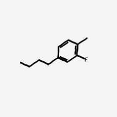 CCC[CH]c1ccc(C)c(F)c1